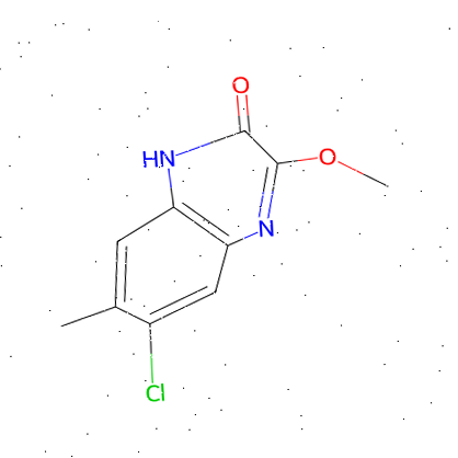 COc1nc2cc(Cl)c(C)cc2[nH]c1=O